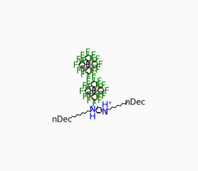 CCCCCCCCCCCCCCCCCC[NH+](C)c1ccc([NH+](C)CCCCCCCCCCCCCCCCCC)cc1.Fc1c(F)c(F)c([B-](c2c(F)c(F)c(F)c(F)c2F)(c2c(F)c(F)c(F)c(F)c2F)c2c(F)c(F)c(F)c(F)c2F)c(F)c1F.Fc1c(F)c(F)c([B-](c2c(F)c(F)c(F)c(F)c2F)(c2c(F)c(F)c(F)c(F)c2F)c2c(F)c(F)c(F)c(F)c2F)c(F)c1F